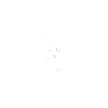 O=C(Nc1cccc(Cl)c1)n1sc(CBr)cc1=O